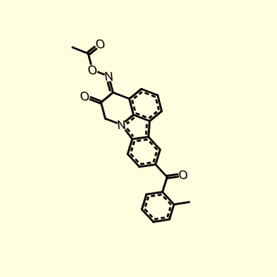 CC(=O)O/N=C1\C(=O)Cn2c3ccc(C(=O)c4ccccc4C)cc3c3cccc1c32